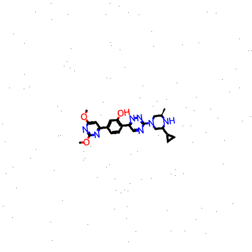 COc1cc(-c2ccc(-c3cnc(N4CC(C5CC5)N[C@H](C)C4)nn3)c(O)c2)nc(OC)n1